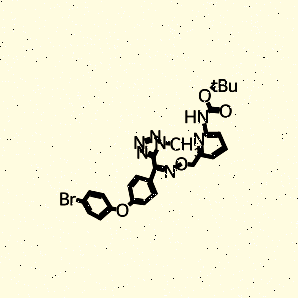 Cn1nnnc1/C(=N\OCc1cccc(NC(=O)OC(C)(C)C)n1)c1ccc(Oc2ccc(Br)cc2)cc1